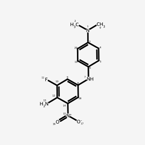 CN(C)c1ccc(Nc2cc(F)c(N)c([N+](=O)[O-])c2)cc1